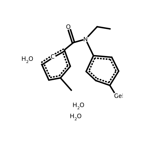 CCN(C(=O)c1cccc(C)c1)c1cc[c]([Ge])cc1.O.O.O